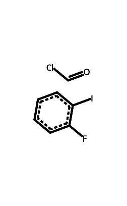 Fc1ccccc1I.O=CCl